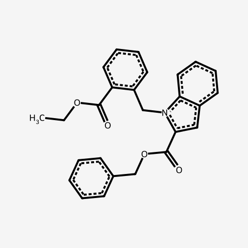 CCOC(=O)c1ccccc1Cn1c(C(=O)OCc2ccccc2)cc2ccccc21